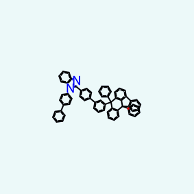 c1ccc(-c2ccc(-n3c(-c4ccc(-c5cccc(C6(c7ccccc7)c7ccccc7C7(c8ccccc8)c8ccccc8-c8cccc6c87)c5)cc4)nc4ccccc43)cc2)cc1